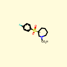 O=C(O)N1CCCC[C@H](S(=O)(=O)c2ccc(F)cc2)C1